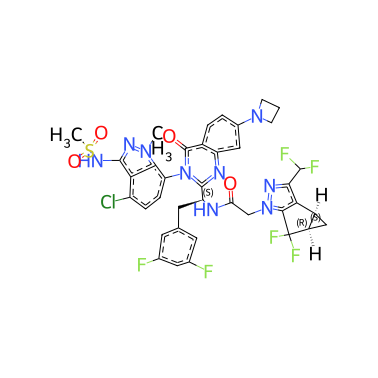 Cn1nc(NS(C)(=O)=O)c2c(Cl)ccc(-n3c([C@H](Cc4cc(F)cc(F)c4)NC(=O)Cn4nc(C(F)F)c5c4C(F)(F)[C@@H]4C[C@H]54)nc4cc(N5CCC5)ccc4c3=O)c21